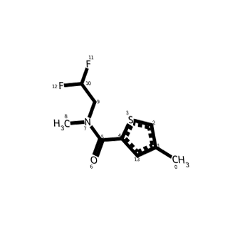 Cc1csc(C(=O)N(C)CC(F)F)c1